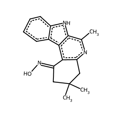 Cc1nc2c(c3c1[nH]c1ccccc13)C(=NO)CC(C)(C)C2